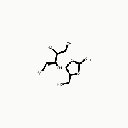 CC1OCC(CO)O1.CC=C(O)C(O)CO